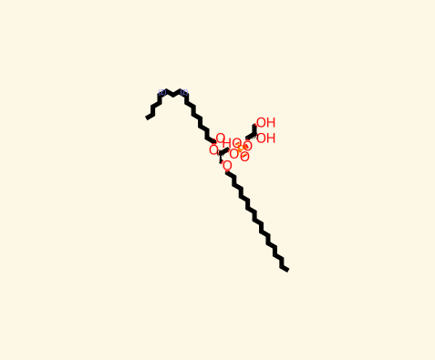 CCCC/C=C\C/C=C\CCCCCCCC(=O)O[C@H](COCCCCCCCCCCCCCCCCCC)COP(=O)(O)OC[C@@H](O)CO